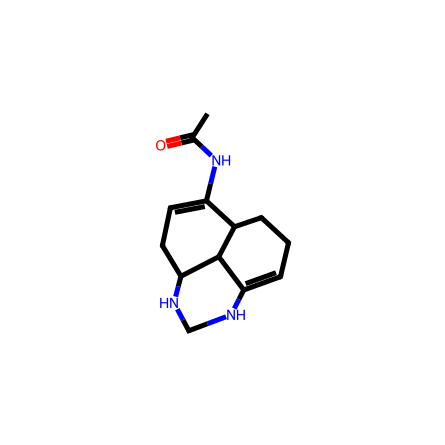 CC(=O)NC1=CCC2NCNC3=CCCC1C32